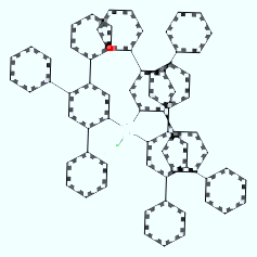 Cl[Si](c1cc(-c2ccccc2)c(-c2ccccc2)cc1-c1ccccc1)(c1cc(-c2ccccc2)c(-c2ccccc2)cc1-c1ccccc1)c1cc(-c2ccccc2)c(-c2ccccc2)cc1-c1ccccc1